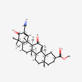 COC(=O)[C@H]1CC[C@]2(C)CC[C@]3(C)C(=CC(=O)[C@@H]4[C@@]5(C)C=C(C#N)C(=O)C(C)(C)[C@@H]5CC[C@]43C)[C@H]2C1